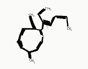 C=C/C(=C\C=C/C)c1nccc(=C)ccccc1=C